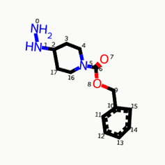 NNC1CCN(C(=O)OCc2ccccc2)CC1